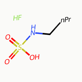 CCCCNS(=O)(=O)O.F